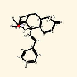 C=C1C=CC2=C(CC3C=C(C)CC2(N=Cc2ccncc2)/C3=C/C)N1